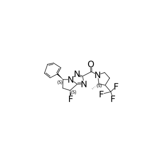 C[C@H]1C(C(F)(F)F)CCN1C(=O)c1nc2n(n1)[C@H](c1ccccc1)C[C@@H]2F